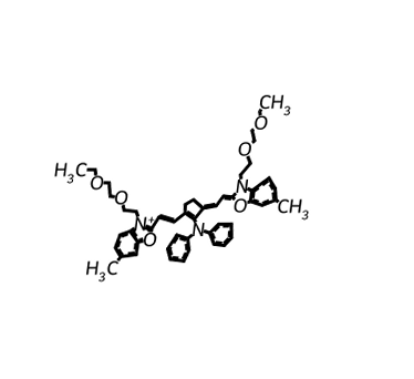 CCOCCOCCN1/C(=C/C=C2\CCC(/C=C/c3oc4cc(C)ccc4[n+]3CCOCCOCC)=C2N(c2ccccc2)c2ccccc2)Oc2cc(C)ccc21